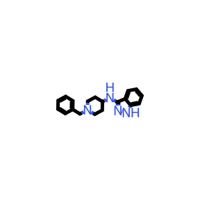 c1ccc(CN2CCC(Nc3n[nH]c4ccccc34)CC2)cc1